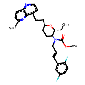 COc1ccc2nccc(CC[C@@H]3CC[C@@H](N(CC=Cc4cc(F)ccc4F)C(=O)OC(C)(C)C)[C@@H](CC=O)O3)c2n1